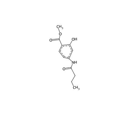 CCCC(=O)Nc1ccc(C(=O)OC)c(O)c1